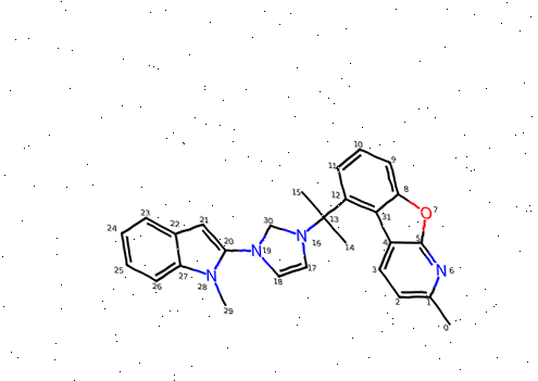 Cc1ccc2c(n1)oc1cccc(C(C)(C)N3C=CN(c4cc5ccccc5n4C)C3)c12